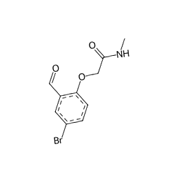 CNC(=O)COc1ccc(Br)cc1C=O